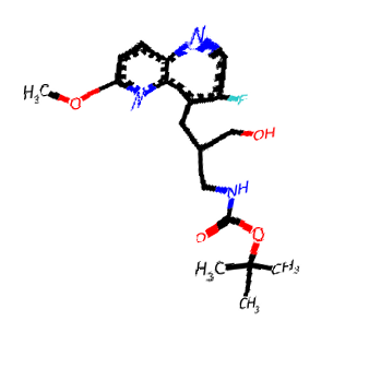 COc1ccc2ncc(F)c(CC(CO)CNC(=O)OC(C)(C)C)c2n1